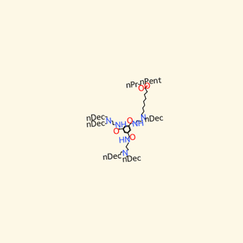 CCCCCCCCCCCN(CCCCCCCCCCC)CCCNC(=O)c1cc(C(=O)NCCN(CCCCCCCCCCC)CCCCCCCCCCC)cc(C(=O)NCCN(CCCCCCCCCC)CCCCCCCCC(=O)OC(CCC)CCCCC)c1